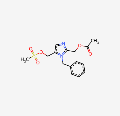 CC(=O)OCc1ncc(COS(C)(=O)=O)n1Cc1ccccc1